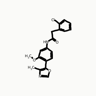 COc1cc(NC(=O)Cc2ccccc2Cl)ccc1-c1ocnc1C